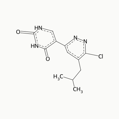 CC(C)Cc1cc(-c2c[nH]c(=O)[nH]c2=O)nnc1Cl